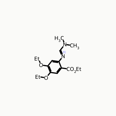 CCOC(=O)c1cc(OCC)c(OCC)cc1/N=C/N(C)C